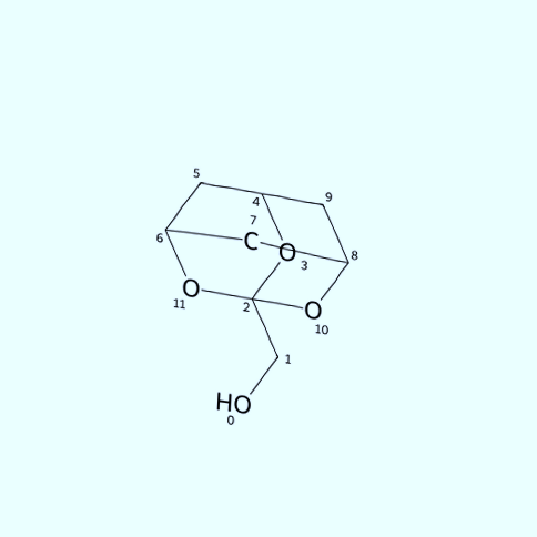 OCC12OC3CC(CC(C3)O1)O2